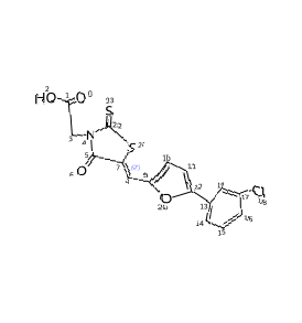 O=C(O)CN1C(=O)/C(=C/c2ccc(-c3cccc(Cl)c3)o2)SC1=S